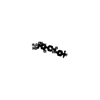 C[C@@](O)(CO)c1cnc(C2=CCN(C(=O)Nc3ccc(C(F)(F)F)cc3)CC2)c(Cl)c1